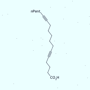 CCCCCC#CCCCCCC#CCCCC(=O)O